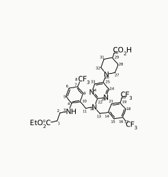 CCOC(=O)CCNc1ccc(C(F)(F)F)cc1CN(Cc1cc(C(F)(F)F)cc(C(F)(F)F)c1)c1ncc(N2CCC(C(=O)O)CC2)cn1